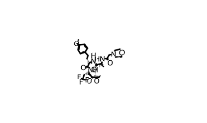 COc1ccc(CC[C@H](NC(=O)[C@H](C)NC(=O)CN2CCOCC2)C(=O)N[C@@H](CC(F)(F)F)C(=O)[C@@]2(C)CO2)cc1